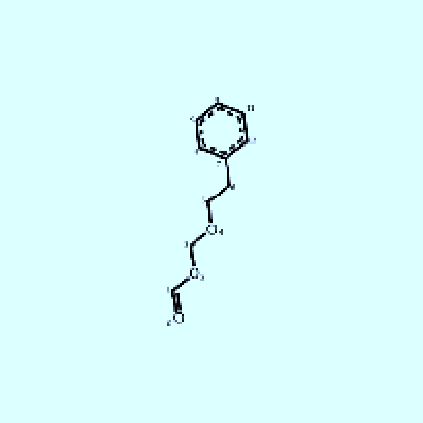 O=COCOCCc1ccccc1